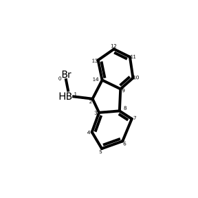 BrBC1c2ccccc2-c2ccccc21